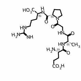 C[C@H](NC(=O)[C@@H](N)CCC(=O)O)C(=O)NCC(=O)N1CCC[C@H]1C(=O)N[C@@H](CCCNC(=N)N)C(=O)O